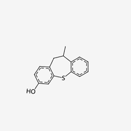 CC1Cc2ccc(O)cc2Sc2ccccc21